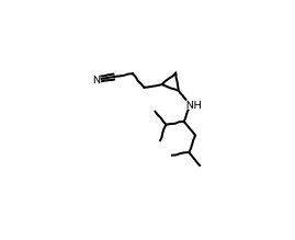 CC(C)CC(NC1CC1CCC#N)C(C)C